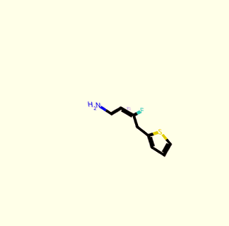 NC/C=C(/F)Cc1cccs1